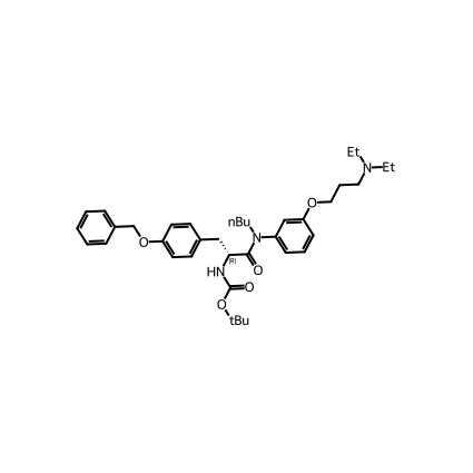 CCCCN(C(=O)[C@@H](Cc1ccc(OCc2ccccc2)cc1)NC(=O)OC(C)(C)C)c1cccc(OCCCN(CC)CC)c1